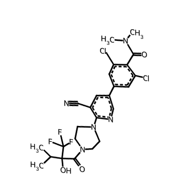 CC(C)C(O)(C(=O)N1CCN(c2ncc(-c3cc(Cl)c(C(=O)N(C)C)c(Cl)c3)cc2C#N)CC1)C(F)(F)F